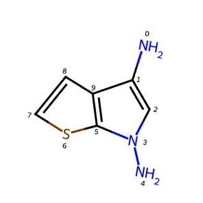 Nc1cn(N)c2sccc12